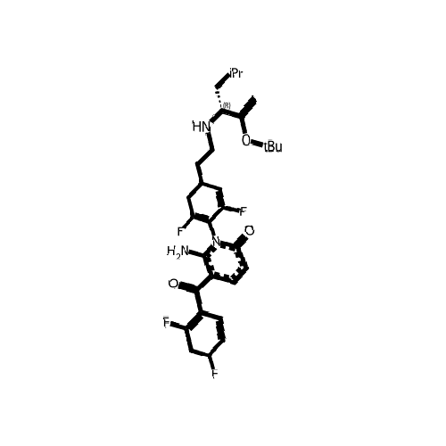 C=C(OC(C)(C)C)[C@@H](CC(C)C)NCCC1C=C(F)C(n2c(N)c(C(=O)C3=C(F)CC(F)C=C3)ccc2=O)=C(F)C1